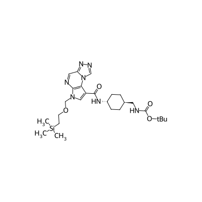 CC(C)(C)OC(=O)NC[C@H]1CC[C@H](NC(=O)c2cn(COCC[Si](C)(C)C)c3ncc4nncn4c23)CC1